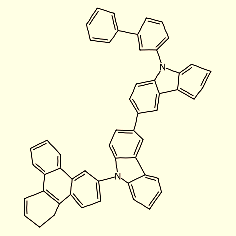 C1=Cc2c(c3ccc(-n4c5ccccc5c5cc(-c6ccc7c(c6)c6ccccc6n7-c6cccc(-c7ccccc7)c6)ccc54)cc3c3ccccc23)CC1